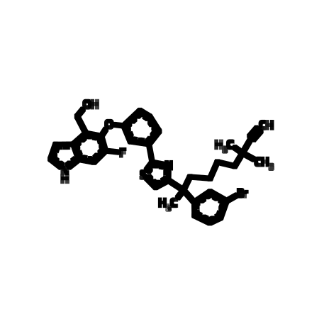 C#CC(C)(C)CCCCC(C)(c1cccc(Br)c1)c1csc(-c2cccc(Oc3c(F)cc4[nH]ccc4c3CO)c2)n1